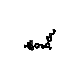 O=C(NS(=O)(=O)C1CC1)c1ccc(COc2cc(F)cc(-c3ccc(OCC4CC4)nc3)c2)cc1